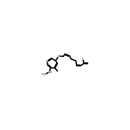 C=C(F)/C=C\CC/C=C\COC1C=NC=C(NN)C(C)=C1